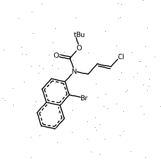 CC(C)(C)OC(=O)N(C/C=C/Cl)c1ccc2ccccc2c1Br